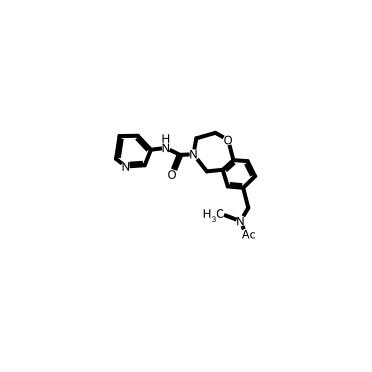 CC(=O)N(C)Cc1ccc2c(c1)CN(C(=O)Nc1cccnc1)CCO2